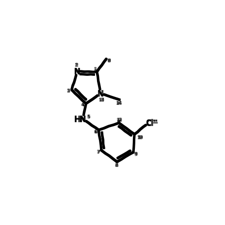 Cc1ncc(Nc2cccc(Cl)c2)n1C